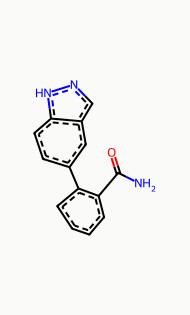 NC(=O)c1ccccc1-c1ccc2[nH]ncc2c1